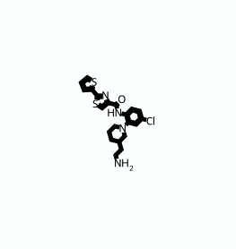 NCCC1CCCN(c2cc(Cl)ccc2NC(=O)c2csc(-c3cccs3)n2)C1